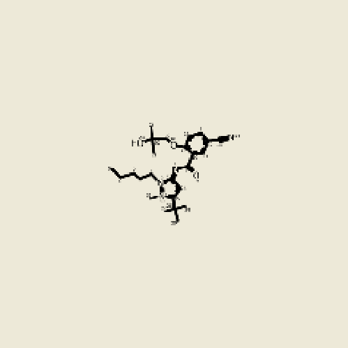 CCCCCn1/c(=N/C(=O)c2cc(C#N)ccc2OCC(C)(C)O)cc(C(C)(C)C)n1C